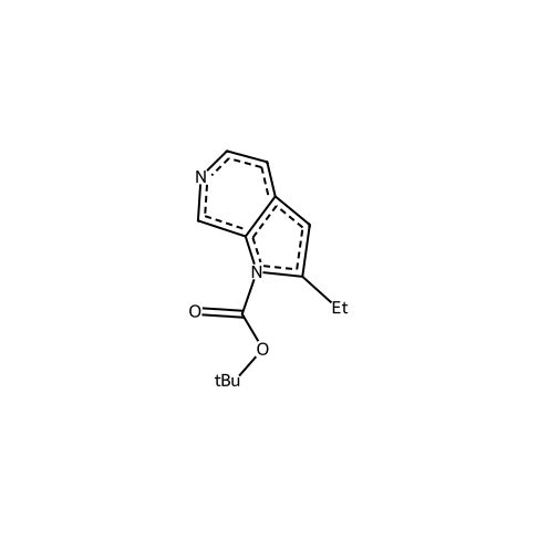 CCc1cc2ccncc2n1C(=O)OC(C)(C)C